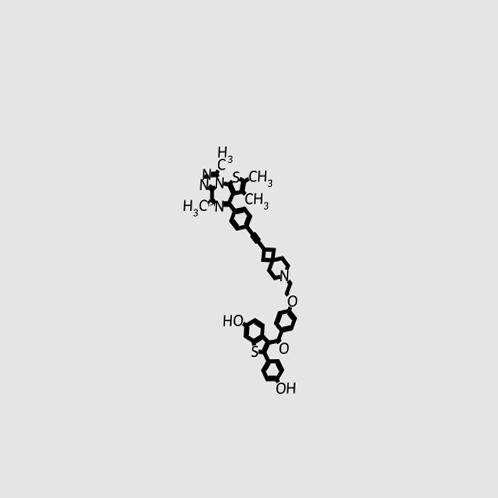 Cc1sc2c(c1C)C(c1ccc(C#CC3CC4(CCN(CCOc5ccc(C(=O)c6c(-c7ccc(O)cc7)sc7cc(O)ccc67)cc5)CC4)C3)cc1)=N[C@@H](C)c1nnc(C)n1-2